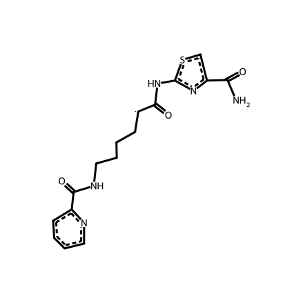 NC(=O)c1csc(NC(=O)[CH]CCCCNC(=O)c2ccccn2)n1